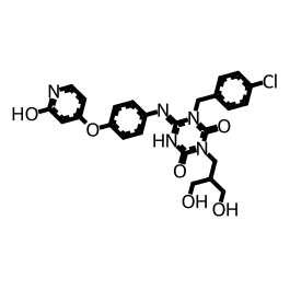 O=c1[nH]/c(=N\c2ccc(Oc3ccnc(O)c3)cc2)n(Cc2ccc(Cl)cc2)c(=O)n1CC(CO)CO